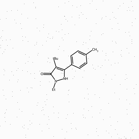 CCn1[nH]c(-c2ccc(C)cc2)c(C(C)(C)C)c1=O